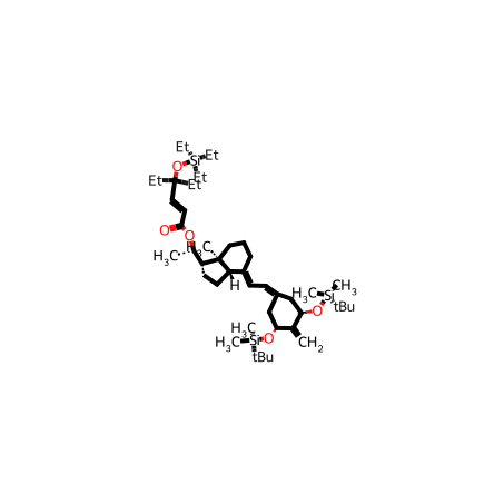 C=C1[C@H](O[Si](C)(C)C(C)(C)C)CC(=C/C=C2\CCC[C@]3(C)[C@@H]([C@H](C)OC(=O)/C=C/C(CC)(CC)O[Si](CC)(CC)CC)CC[C@@H]23)C[C@H]1O[Si](C)(C)C(C)(C)C